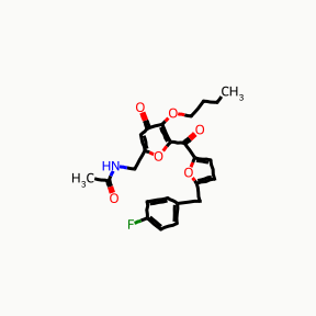 CCCCOc1c(C(=O)c2ccc(Cc3ccc(F)cc3)o2)oc(CNC(C)=O)cc1=O